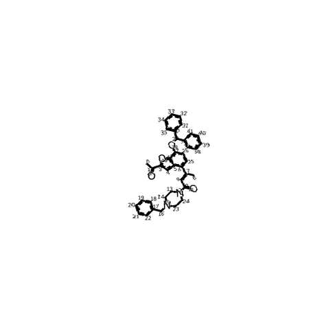 CC(=O)c1cc2c(C(C)=CC(=O)N3CCN(Cc4ccccc4)CC3)ccc(OC(c3ccccc3)c3ccccc3)c2o1